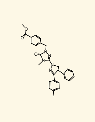 COC(=O)c1ccc(Cn2nc(N3CC(c4ccccc4)C(c4ccc(C)cc4)=N3)n(C)c2=O)cc1